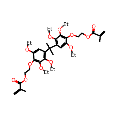 C=C(C)C(=O)OCCOc1c(OCC)cc(C(C)(C)c2cc(OCC)c(OCCOC(=O)C(=C)C)c(OCC)c2OCC)c(OCC)c1OCC